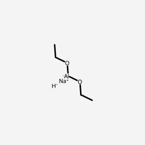 CC[O][Al][O]CC.[H-].[Na+]